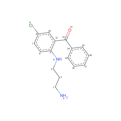 NCCCNc1ccc(Cl)cc1C(=O)c1ccccc1